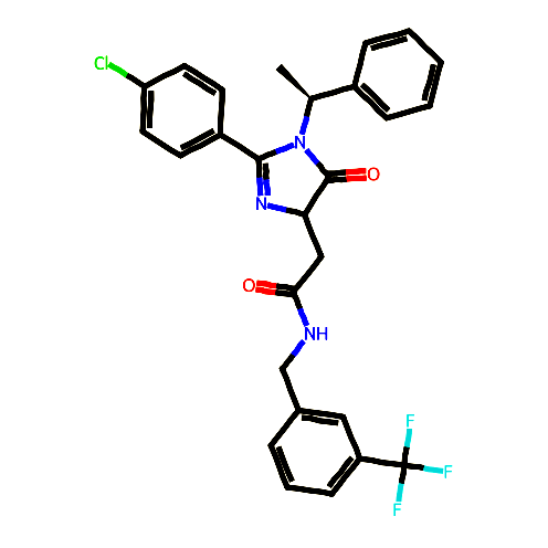 C[C@@H](c1ccccc1)N1C(=O)C(CC(=O)NCc2cccc(C(F)(F)F)c2)N=C1c1ccc(Cl)cc1